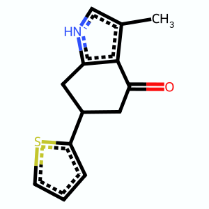 Cc1c[nH]c2c1C(=O)CC(c1cccs1)C2